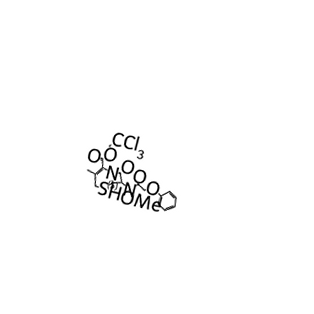 CON(C(=O)COc1ccccc1)C1C(=O)N2C(C(=O)OCC(Cl)(Cl)Cl)=C(C)CS[C@@H]12